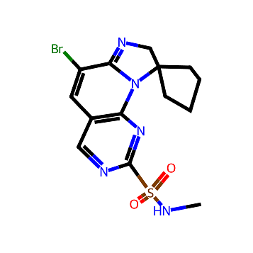 CNS(=O)(=O)c1ncc2c(n1)N1C(=NCC13CCCC3)C(Br)=C2